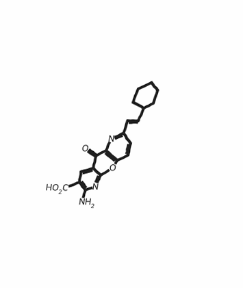 Nc1nc2oc3ccc(/C=C/C4CCCCC4)nc3c(=O)c2cc1C(=O)O